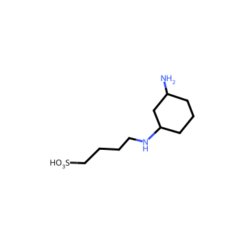 NC1CCCC(NCCCCS(=O)(=O)O)C1